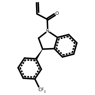 C=CC(=O)N1C[C@H](c2cccc(C(F)(F)F)c2)c2ccccc21